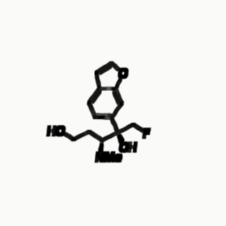 CN[C@@H](CCO)[C@@](O)(CF)c1ccc2ccoc2c1